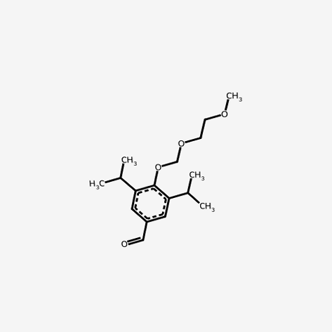 COCCOCOc1c(C(C)C)cc(C=O)cc1C(C)C